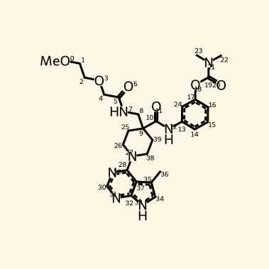 COCCOCC(=O)NCC1(C(=O)Nc2cccc(OC(=O)N(C)C)c2)CCN(c2ncnc3[nH]cc(C)c23)CC1